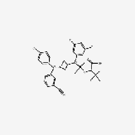 CC(C)(C)C(OC(C)(C)[C@H](c1cc(F)cc(F)c1)C1CN([C@@H](c2ccc(Cl)cc2)c2cccc(C#N)c2)C1)C(=O)O